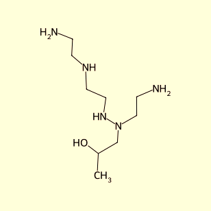 CC(O)CN(CCN)NCCNCCN